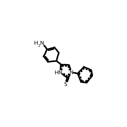 NC1=CCC(c2cn(-c3ccccc3)c(=S)[nH]2)C=C1